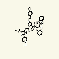 Cc1sc(C2CCNCC2)nc1CC(=O)N1C[C@H](OCc2ccc(Cl)cc2)C[C@H]1C(=O)N[C@@H](CC1CCCCC1)C(=O)c1nc2ccccc2o1